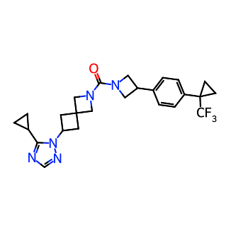 O=C(N1CC(c2ccc(C3(C(F)(F)F)CC3)cc2)C1)N1CC2(CC(n3ncnc3C3CC3)C2)C1